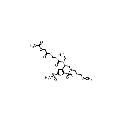 CCN(C(=O)OCOC(=O)COC(C)=O)[C@H]1CN(CCCOC)S(=O)(=O)c2sc(S(N)(=O)=O)cc21